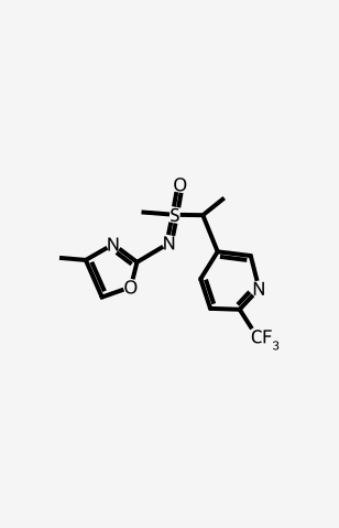 Cc1coc(N=S(C)(=O)C(C)c2ccc(C(F)(F)F)nc2)n1